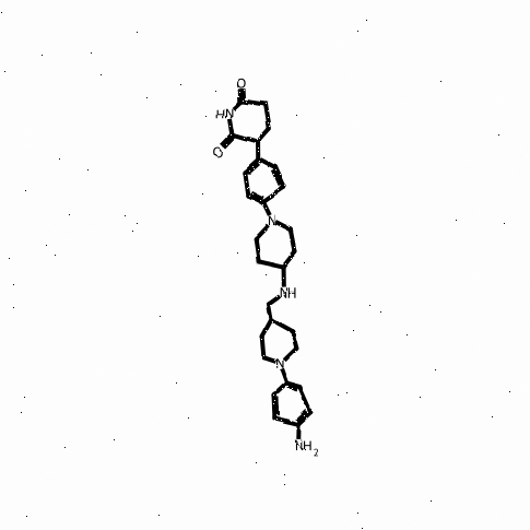 Nc1ccc(N2CCC(CNC3CCN(c4ccc(C5CCC(=O)NC5=O)cc4)CC3)CC2)cc1